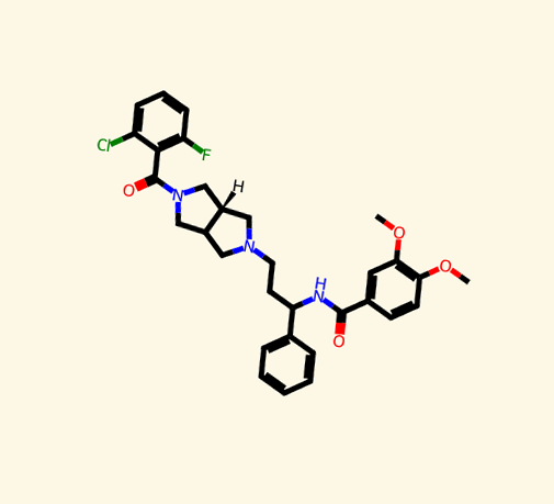 COc1ccc(C(=O)NC(CCN2CC3CN(C(=O)c4c(F)cccc4Cl)C[C@@H]3C2)c2ccccc2)cc1OC